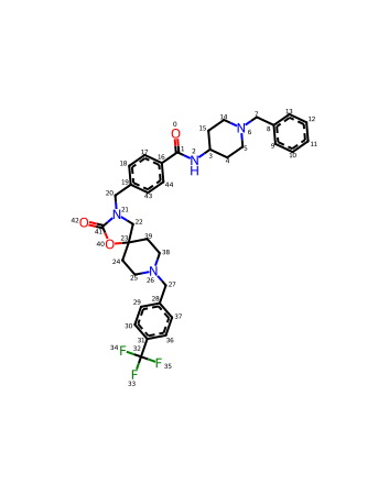 O=C(NC1CCN(Cc2ccccc2)CC1)c1ccc(CN2CC3(CCN(Cc4ccc(C(F)(F)F)cc4)CC3)OC2=O)cc1